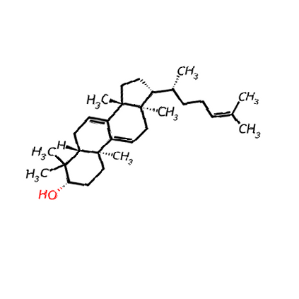 CC(C)=CCC[C@@H](C)[C@H]1CC[C@@]2(C)C3=CC[C@H]4C(C)(C)[C@@H](O)CC[C@]4(C)C3=CC[C@]12C